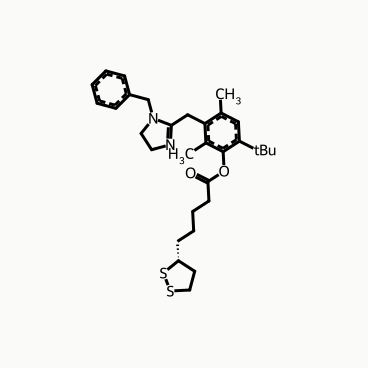 Cc1cc(C(C)(C)C)c(OC(=O)CCCC[C@@H]2CCSS2)c(C)c1CC1=NCCN1Cc1ccccc1